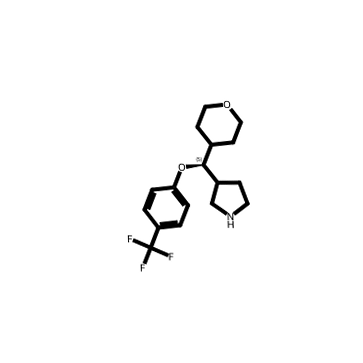 FC(F)(F)c1ccc(O[C@@H](C2CCOCC2)C2CCNC2)cc1